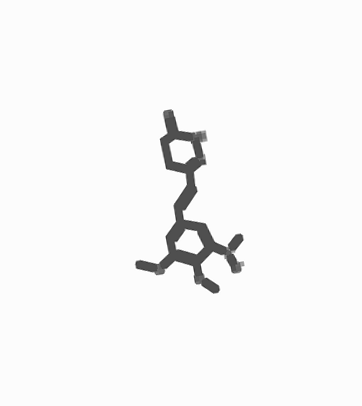 COc1cc(C=CC2=NNC(=O)CC2)cc([S+](C)[O-])c1OC